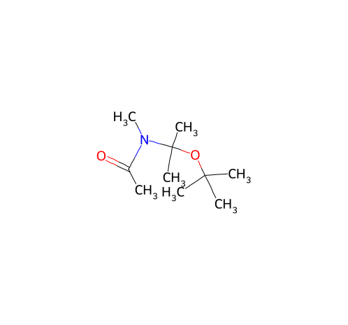 CC(=O)N(C)C(C)(C)OC(C)(C)C